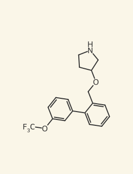 FC(F)(F)Oc1cccc(-c2ccccc2COC2CCNC2)c1